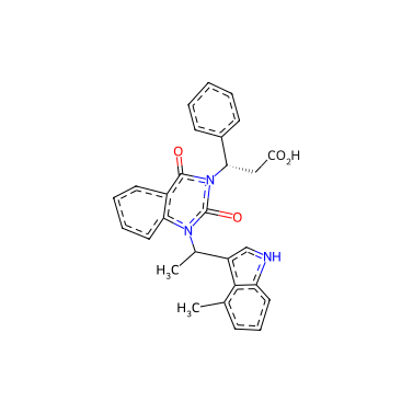 Cc1cccc2[nH]cc(C(C)n3c(=O)n([C@@H](CC(=O)O)c4ccccc4)c(=O)c4ccccc43)c12